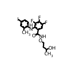 Cc1cc(I)ccc1Nc1c(C(=O)NOCCC(C)O)cc(F)c(F)c1F